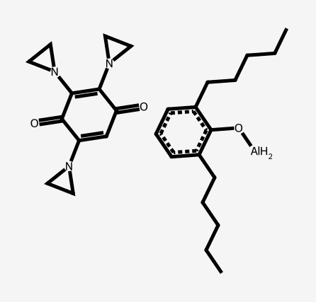 CCCCCc1cccc(CCCCC)c1[O][AlH2].O=C1C=C(N2CC2)C(=O)C(N2CC2)=C1N1CC1